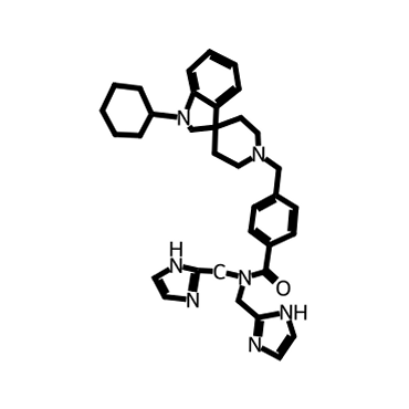 O=C(c1ccc(CN2CCC3(CC2)CN(C2CCCCC2)c2ccccc23)cc1)N(Cc1ncc[nH]1)Cc1ncc[nH]1